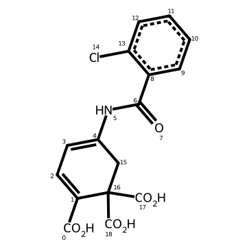 O=C(O)C1=CC=C(NC(=O)c2ccccc2Cl)CC1(C(=O)O)C(=O)O